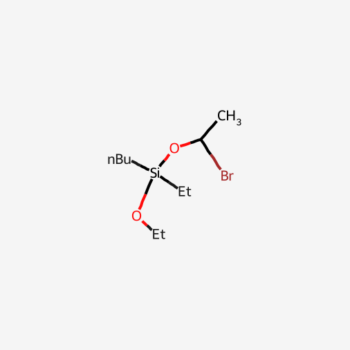 CCCC[Si](CC)(OCC)OC(C)Br